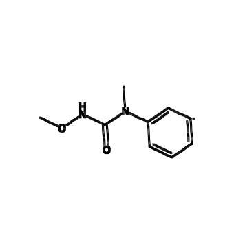 CONC(=O)N(C)c1c[c]ccc1